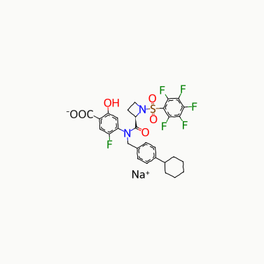 O=C([O-])c1cc(F)c(N(Cc2ccc(C3CCCCC3)cc2)C(=O)[C@H]2CCN2S(=O)(=O)c2c(F)c(F)c(F)c(F)c2F)cc1O.[Na+]